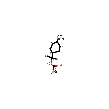 CCC(C)C(=O)OC(C)(C)C1CCC(C(F)(F)F)CC1